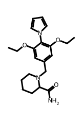 CCOc1cc(CN2CC[CH]CC2C(N)=O)cc(OCC)c1-n1cccc1